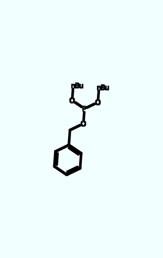 CCCCOP(OCCCC)OCc1ccccc1